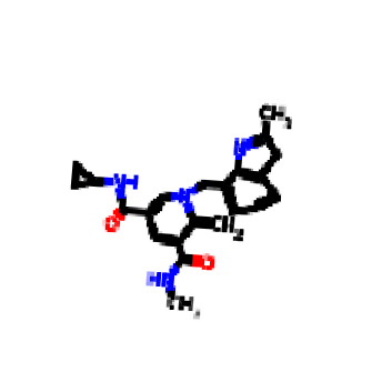 C=C1C(C(=O)NC)=CC(C(=O)NC2CC2)=CN1Cc1cccc2c1N=C(C)C2